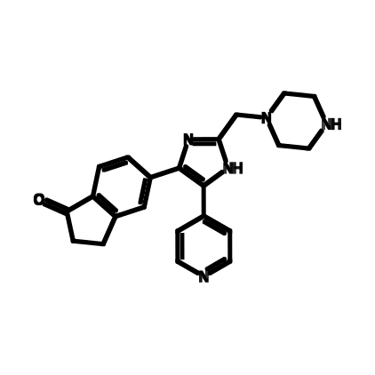 O=C1CCc2cc(-c3nc(CN4CCNCC4)[nH]c3-c3ccncc3)ccc21